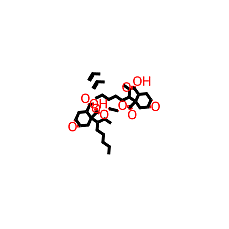 C=CC.C=CC.CCCCCC(CC)C1(C(=O)OCCOC(=O)C2(C(CC)CCCCC)CC3OC3CC2C(=O)O)CC2OC2CC1C(=O)O